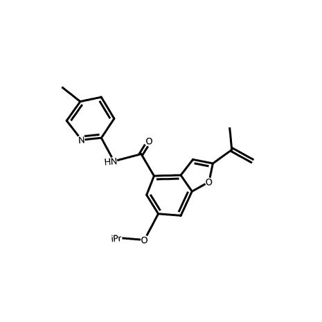 C=C(C)c1cc2c(C(=O)Nc3ccc(C)cn3)cc(OC(C)C)cc2o1